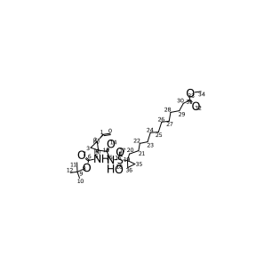 C=C[C@@H]1C[C@]1(NC(=O)OC(C)(C)C)C(=O)NS(=O)(=O)C1(CCCCCCCCCCCC(=O)OC)CC1